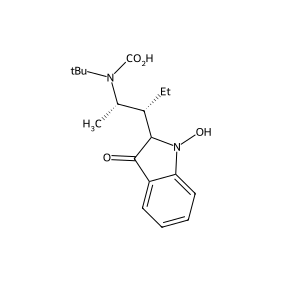 CC[C@H](C1C(=O)c2ccccc2N1O)[C@H](C)N(C(=O)O)C(C)(C)C